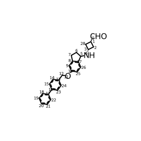 O=C[C@H]1C[C@H](NC2CCc3cc(OCc4ccc(-c5ccccc5)cc4)ccc32)C1